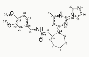 Cc1cc(N2CCCCCC2CC(=O)NCc2ccc3c(c2)OCCO3)nc(-n2ccnc2)n1